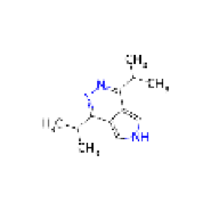 CC(C)c1nnc(C(C)C)c2c[nH]cc12